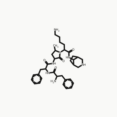 CC1CC(NC(=O)C(Cc2ccccc2)NC(=O)C(N)Cc2ccccc2)C(=O)N1C(CCCCN)C(=O)NC1C2CCC1CNC2